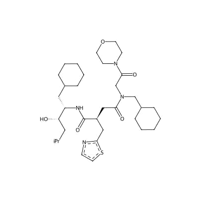 CC(C)C[C@H](O)[C@H](CC1CCCCC1)NC(=O)[C@@H](CC(=O)N(CC(=O)N1CCOCC1)CC1CCCCC1)Cc1nccs1